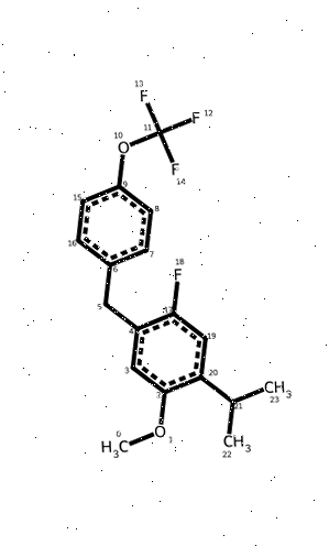 COc1cc(Cc2ccc(OC(F)(F)F)cc2)c(F)cc1C(C)C